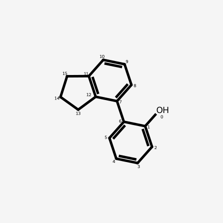 Oc1ccccc1-c1cccc2c1CCC2